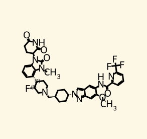 COc1cc2nn([C@H]3CC[C@H](CN4CC[C@@H](c5cccc6c5n(C)c(=O)n6C5CCC(=O)NC5=O)[C@H](F)C4)CC3)cc2cc1NC(=O)c1cccc(C(F)(F)F)n1